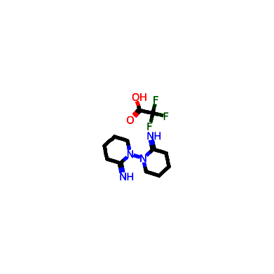 N=C1CCCCN1N1CCCCC1=N.O=C(O)C(F)(F)F